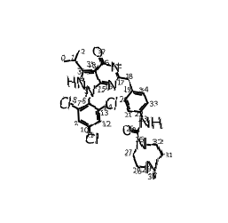 CC(C)c1[nH]n(-c2c(Cl)cc(Cl)cc2Cl)c2nc(Cc3ccc(NC(=O)N4CCN(C)CC4)cc3)nc(=O)c1-2